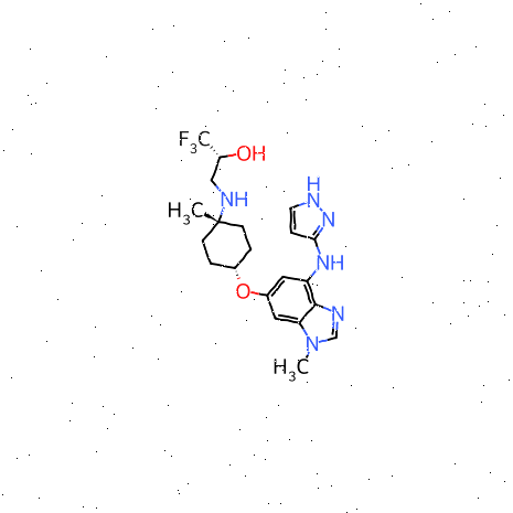 Cn1cnc2c(Nc3cc[nH]n3)cc(O[C@H]3CC[C@@](C)(NC[C@@H](O)C(F)(F)F)CC3)cc21